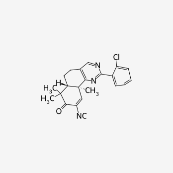 [C-]#[N+]C1=C[C@]2(C)c3nc(-c4ccccc4Cl)ncc3CC[C@H]2C(C)(C)C1=O